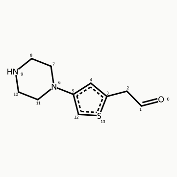 O=CCc1cc(N2CCNCC2)cs1